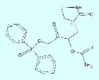 NC(=O)OC(C[C@@H]1CCNC1=O)C(=O)COP(=O)(c1ccccc1)c1ccccc1